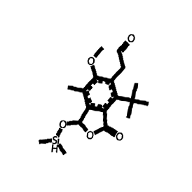 COc1c(C)c2c(c(C(C)(C)C)c1CC=O)C(=O)OC2O[SiH](C)C